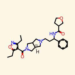 CCc1noc(CC)c1C(=O)N1CC2CN(CCC(NC(=O)C3CCOC3)c3ccccc3)C[C@H]2C1